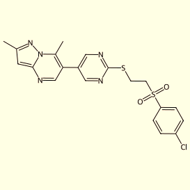 Cc1cc2ncc(-c3cnc(SCCS(=O)(=O)c4ccc(Cl)cc4)nc3)c(C)n2n1